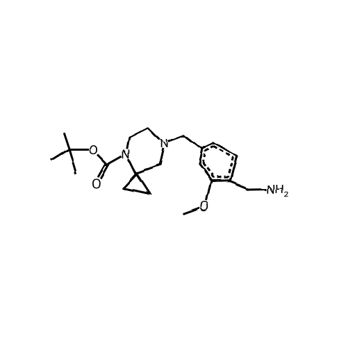 COc1cc(CN2CCN(C(=O)OC(C)(C)C)C3(CC3)C2)ccc1CN